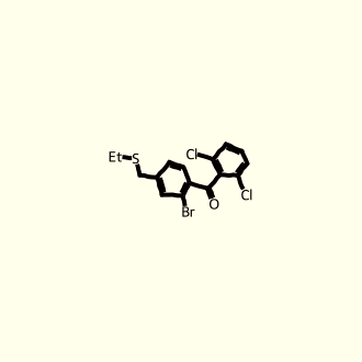 CCSCc1ccc(C(=O)c2c(Cl)cccc2Cl)c(Br)c1